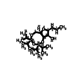 CNB[C@@H]1O[C@@H]2CO[Si](C(C)C)(C(C)C)O[Si](C(C)C)(C(C)C)OC2[C@@H]1O